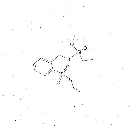 CCOS(=O)(=O)c1ccccc1CO[Si](CC)(OC)OC